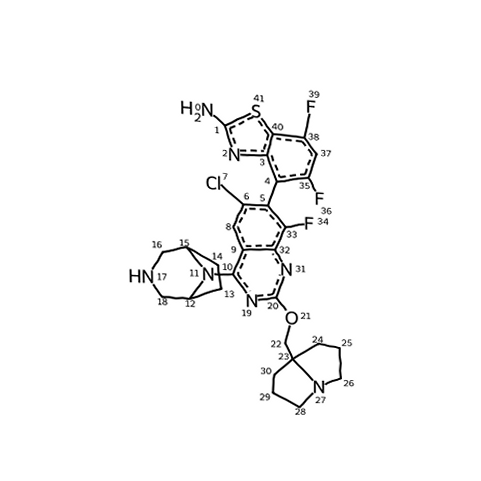 Nc1nc2c(-c3c(Cl)cc4c(N5C6CCC5CNC6)nc(OCC56CCCN5CCC6)nc4c3F)c(F)cc(F)c2s1